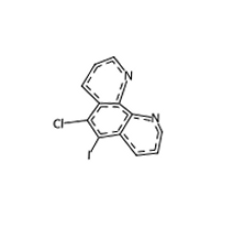 Clc1c(I)c2cccnc2c2ncccc12